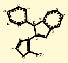 [Zr][C]1=C(C2=Cc3ccccc3C2c2ccccc2)C=CC1